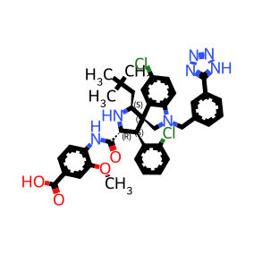 COc1cc(C(=O)O)ccc1NC(=O)[C@@H]1N[C@@H](CC(C)(C)C)[C@@]2(CN(Cc3cccc(-c4nnn[nH]4)c3)c3ccc(Cl)cc32)[C@H]1c1ccccc1Cl